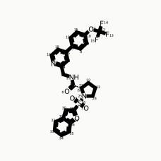 O=C(NCc1cc(-c2ccc(OC(F)(F)F)cc2)ccn1)[C@@H]1CCCN1S(=O)(=O)c1cc2ccccc2o1